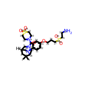 CC1(C)C[C@@H]2CN(C(=O)N3CCS(=O)(=O)CC3)CC1N(c1ccc(OCCCS(=O)(=O)CCN)cc1)C2